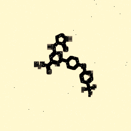 NC(=O)c1cc(N[C@H]2CCNC2=O)nc(C2CCC(Oc3ccc(C(F)(F)F)cn3)CC2)n1